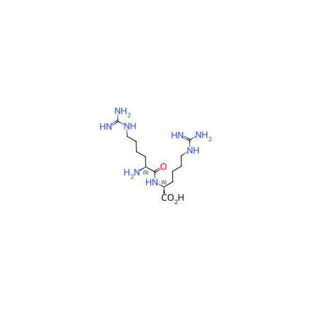 N=C(N)NCCCC[C@H](NC(=O)[C@@H](N)CCCCNC(=N)N)C(=O)O